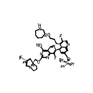 CC(C)[Si](Oc1cc(-c2ncc3c(O)nc(OC[C@@]45CCCN4C[C@H](F)C5)nc3c2F)c2c(CCCO[C@@H]3CCCCNC3)c(F)cnc2c1)(C(C)C)C(C)C